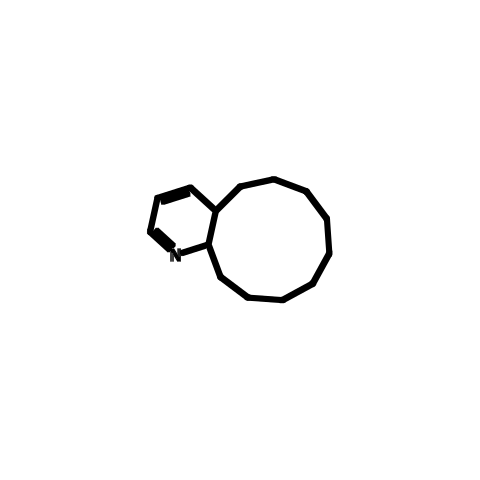 C1=CC2CCCCCCCCCC2N=C1